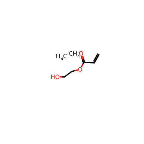 C.C.C=CC(=O)OCCO